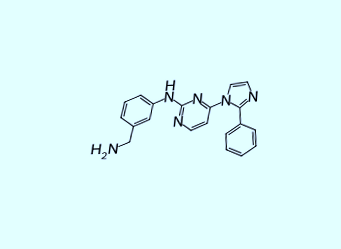 NCc1cccc(Nc2nccc(-n3ccnc3-c3ccccc3)n2)c1